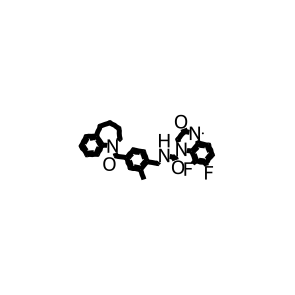 Cc1cc(C(=O)N2CCCCc3ccccc32)ccc1CNC(=O)N1CC(=O)[N]c2ccc(F)c(F)c21